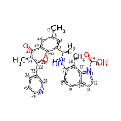 Cc1cc([C@@H](C)Nc2ccc3ccn(C(=O)O)c3c2C)c2oc(-c3cccnc3)c(C)c(=O)c2c1